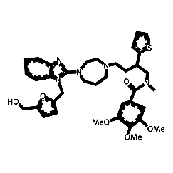 COc1cc(C(=O)N(C)CC(CCN2CCCN(c3nc4ccccc4n3Cc3ccc(CO)o3)CC2)c2cccs2)cc(OC)c1OC